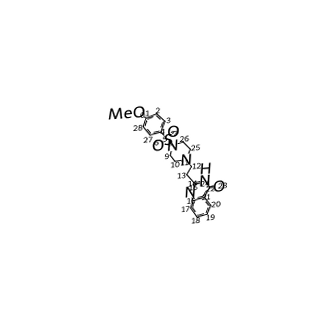 COc1ccc(S(=O)(=O)N2CCN(CCc3nc4ccccc4c(=O)[nH]3)CC2)cc1